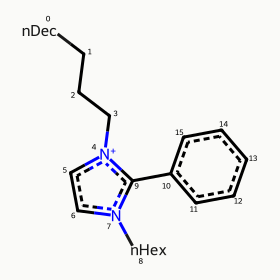 CCCCCCCCCCCCC[n+]1ccn(CCCCCC)c1-c1ccccc1